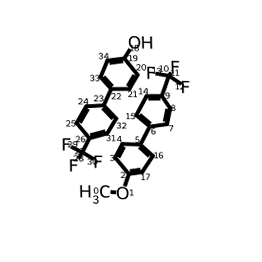 COc1ccc(-c2ccc(C(F)(F)F)cc2)cc1.Oc1ccc(-c2ccc(C(F)(F)F)cc2)cc1